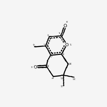 Cc1cc(=O)oc2c1C(=O)CC(C)(C)C2